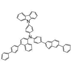 c1ccc(-c2ccc(-c3ccc(N(c4ccc(-c5ccc6cc(-c7ccccc7)ccc6c5)cc4)c4ccc(-n5c6ccccc6c6ccccc65)cc4)c4ccccc34)cc2)cc1